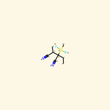 CCC(C#N)(C(C)C#N)S(C)(F)F